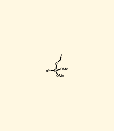 CCC[Si](OC)(OC)OCI